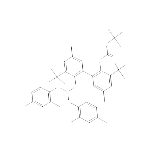 Cc1ccc(OP(Oc2ccc(C)cc2C)Oc2c(-c3cc(C)cc(C(C)(C)C)c3OC(=O)OC(C)(C)C)cc(C)cc2C(C)(C)C)c(C)c1